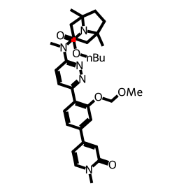 CCCCOC(=O)N1C2(C)CCC1(C)CC(N(C)c1ccc(-c3ccc(-c4ccn(C)c(=O)c4)cc3OCOC)nn1)C2